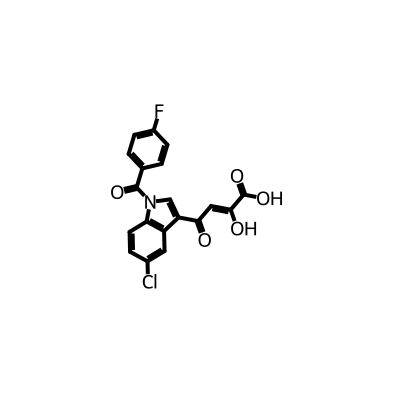 O=C(O)C(O)=CC(=O)c1cn(C(=O)c2ccc(F)cc2)c2ccc(Cl)cc12